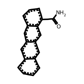 NC(=O)c1cccc2cc3cc4ccccc4cc3cc12